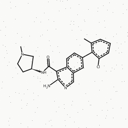 Cc1cccc(Cl)c1-c1ccc2c(C(=O)N[C@H]3CCN(C)C3)c(N)ncc2c1